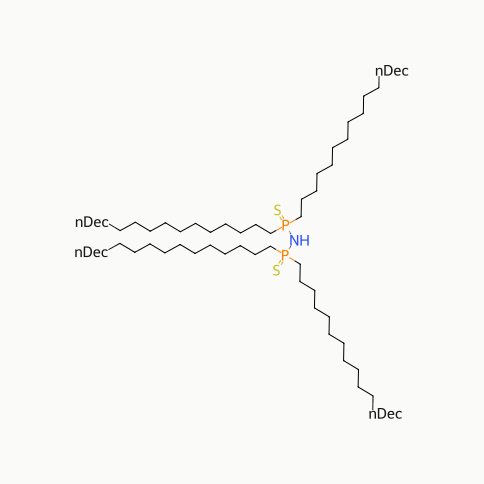 CCCCCCCCCCCCCCCCCCCCCP(=S)(CCCCCCCCCCCCCCCCCCCCC)NP(=S)(CCCCCCCCCCCCCCCCCCCCC)CCCCCCCCCCCCCCCCCCCCC